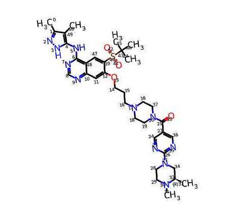 Cc1n[nH]c(Nc2ncnc3cc(OCCCN4CCN(C(=O)c5cnc(N6CCN(C)[C@H](C)C6)nc5)CC4)c(S(=O)(=O)C(C)(C)C)cc23)c1C